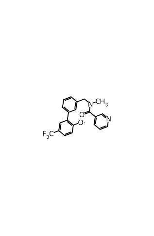 CN(Cc1cccc(-c2cc(C(F)(F)F)ccc2[O])c1)C(=O)c1cccnc1